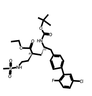 CCOC(=O)[C@H](CCNS(C)(=O)=O)C[C@@H](Cc1ccc(-c2cc(Cl)ccc2F)cc1)NC(=O)OC(C)(C)C